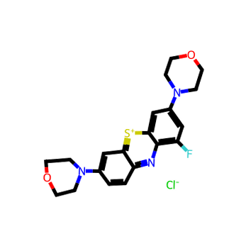 Fc1cc(N2CCOCC2)cc2[s+]c3cc(N4CCOCC4)ccc3nc12.[Cl-]